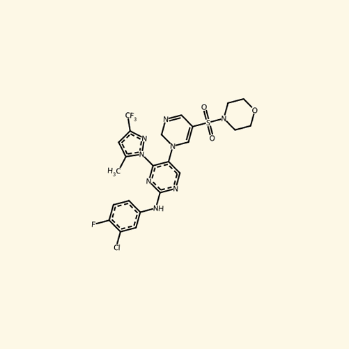 Cc1cc(C(F)(F)F)nn1-c1nc(Nc2ccc(F)c(Cl)c2)ncc1N1C=C(S(=O)(=O)N2CCOCC2)C=NC1